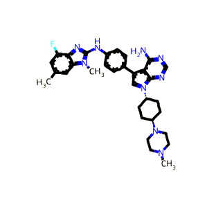 Cc1cc(F)c2nc(Nc3ccc(-c4cn([C@H]5CC[C@H](N6CCN(C)CC6)CC5)c5ncnc(N)c45)cc3)n(C)c2c1